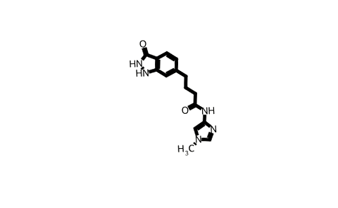 Cn1cnc(NC(=O)CCCc2ccc3c(=O)[nH][nH]c3c2)c1